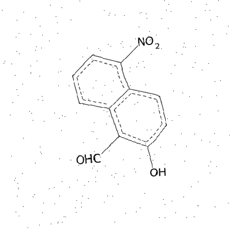 O=Cc1c(O)ccc2c([N+](=O)[O-])cccc12